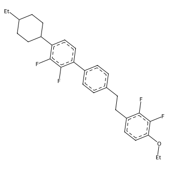 CCOc1ccc(CCc2ccc(-c3ccc(C4CCC(CC)CC4)c(F)c3F)cc2)c(F)c1F